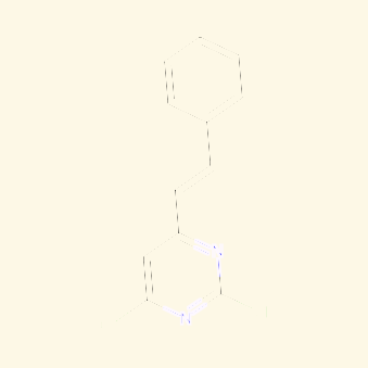 Clc1cc(/C=C/c2ccccc2)nc(Cl)n1